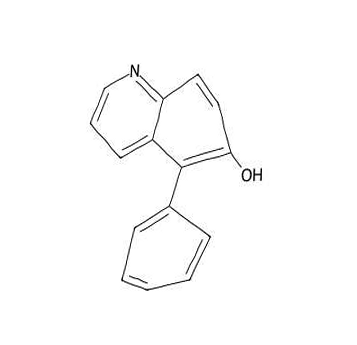 Oc1ccc2ncccc2c1-c1ccccc1